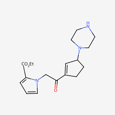 CCOC(=O)c1cccn1CC(=O)C1=CC(N2CCNCC2)CC1